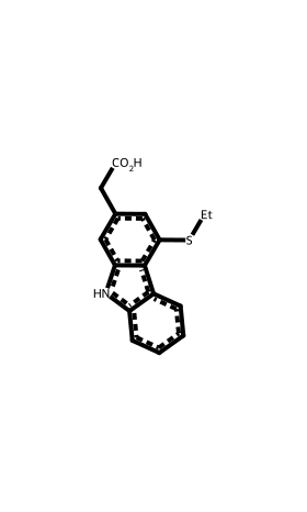 CCSc1cc(CC(=O)O)cc2[nH]c3ccccc3c12